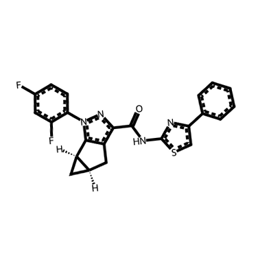 O=C(Nc1nc(-c2ccccc2)cs1)c1nn(-c2ccc(F)cc2F)c2c1C[C@H]1C[C@@H]21